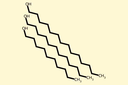 CCCCCCCCCCCCCCO.CCCCCCCCCCCCO.CCCCCCCCCCO